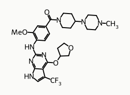 COc1cc(C(=O)N2CCC(N3CCN(C)CC3)CC2)ccc1Nc1nc(OC2CCOC2)c2c(C(F)(F)F)c[nH]c2n1